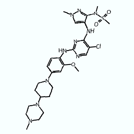 COc1cc(N2CCC(N3CCN(C)CC3)CC2)ccc1Nc1ncc(Cl)c(Nc2cn(C)nc2N(C)S(C)(=O)=O)n1